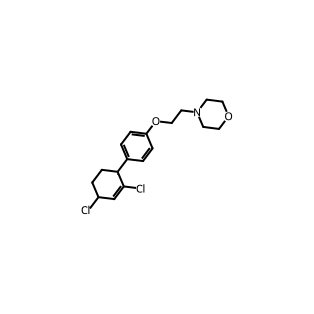 ClC1=CC(Cl)CC[C]1c1ccc(OCCN2CCOCC2)cc1